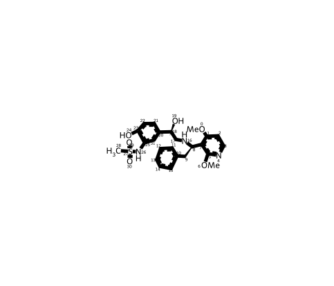 COc1ccnc(OC)c1[C@@H](Cc1ccccc1)NC[C@H](O)c1ccc(O)c(NS(C)(=O)=O)c1